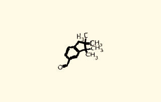 CC1(C)Cc2ccc(C=O)cc2C1(C)C